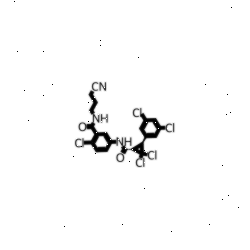 N#CCCCNC(=O)c1cc(NC(=O)[C@@H]2[C@@H](c3cc(Cl)cc(Cl)c3)C2(Cl)Cl)ccc1Cl